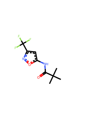 CC(C)(C)C(=O)Nc1cc(C(F)(F)F)no1